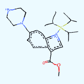 COC(=O)c1cn(S(C(C)C)(C(C)C)C(C)C)c2cc(N3CCNCC3)ccc12